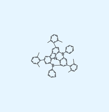 Cc1cccc(C)c1-c1cc2c3c(c1)B(c1ccccc1)c1cc(-c4c(C)cccc4C)cc4c5cc(-c6c(C)cccc6C)cc(c5n-3c14)B2c1ccccc1